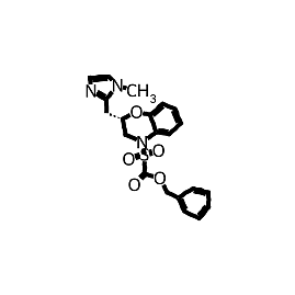 Cn1ccnc1C[C@H]1CN(S(=O)(=O)C(=O)OCc2ccccc2)c2ccccc2O1